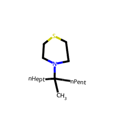 CCCCCCCC(C)(CCCCC)N1CCSCC1